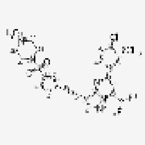 Cc1cc(-c2cc(C(F)F)n3ncc(C#Cc4ccc(S(=O)(=O)N5CCN(C)CC5)s4)c3n2)ccc1Cl